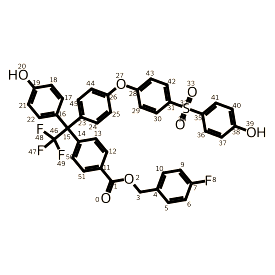 O=C(OCc1ccc(F)cc1)c1ccc(C(c2ccc(O)cc2)(c2ccc(Oc3ccc(S(=O)(=O)c4ccc(O)cc4)cc3)cc2)C(F)(F)F)cc1